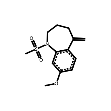 C=C1CCCN(S(C)(=O)=O)c2cc(OC)ccc21